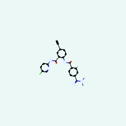 C#Cc1ccc(NC(=O)c2ccc(C(=N)N(C)C)cc2F)c(C(=O)Nc2ccc(Cl)cn2)c1